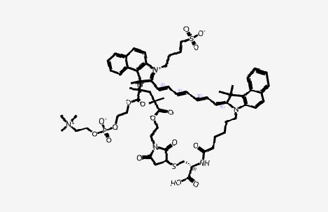 CC(C)(CC(C)(Br)C(=O)OCCOP(=O)([O-])OCC[N+](C)(C)C)C(=O)OCCN1C(=O)CC(SC[C@H](NC(=O)CCCCCN2/C(=C/C=C/C=C/C=C/C3=[N+](CCCCS(=O)(=O)[O-])c4ccc5ccccc5c4C3(C)C)C(C)(C)c3c2ccc2ccccc32)C(=O)O)C1=O